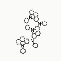 c1ccc(N(c2cc3ccc4cccc5c4c3c(c2)n5-c2ccccc2)c2cc3ccc4cc(N(c5ccccc5)c5cc6ccc7cccc8c7c6c(c5)n8-c5ccccc5)cc5c4c3c(c2)n5-c2ccccc2)cc1